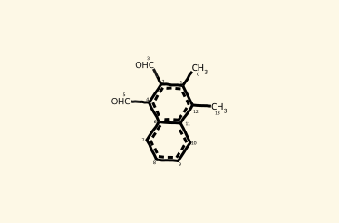 Cc1c(C=O)c(C=O)c2ccccc2c1C